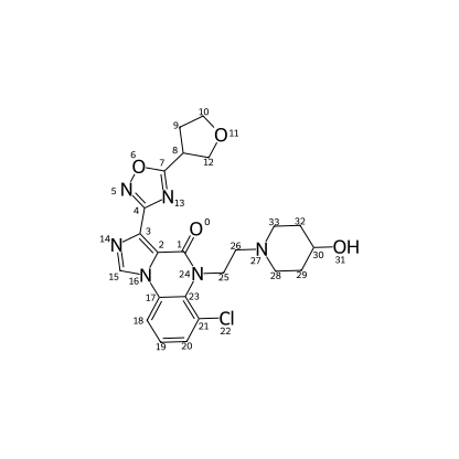 O=c1c2c(-c3noc(C4CCOC4)n3)ncn2c2cccc(Cl)c2n1CCN1CCC(O)CC1